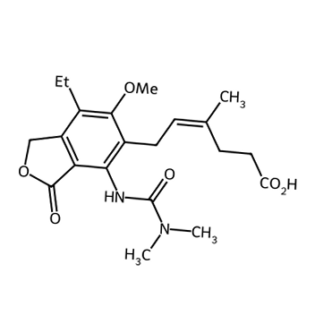 CCc1c2c(c(NC(=O)N(C)C)c(CC=C(C)CCC(=O)O)c1OC)C(=O)OC2